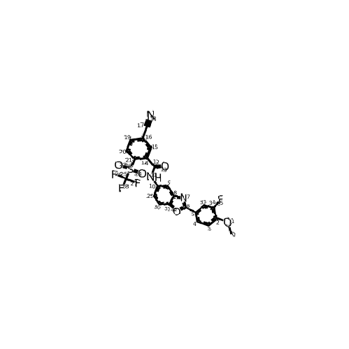 COc1ccc(-c2nc3cc(NC(=O)c4cc(C#N)ccc4S(=O)(=O)C(F)(F)F)ccc3o2)cc1F